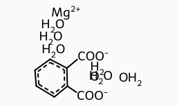 O.O.O.O.O.O.O=C([O-])c1ccccc1C(=O)[O-].[Mg+2]